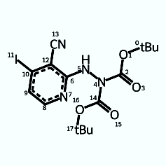 CC(C)(C)OC(=O)N(Nc1nccc(I)c1C#N)C(=O)OC(C)(C)C